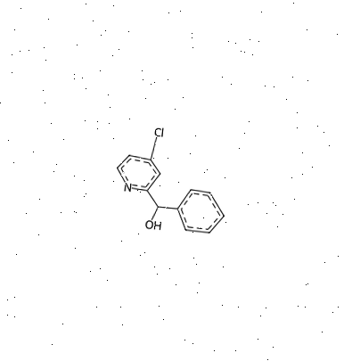 OC(c1ccccc1)c1cc(Cl)ccn1